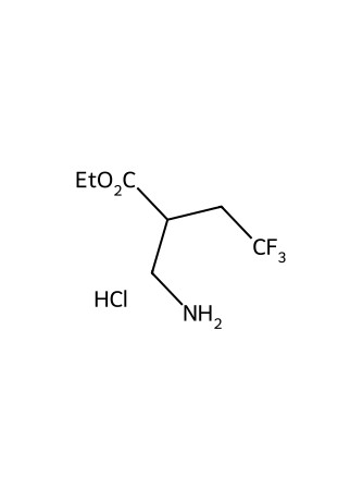 CCOC(=O)C(CN)CC(F)(F)F.Cl